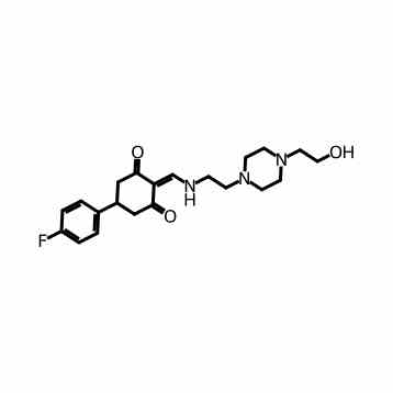 O=C1CC(c2ccc(F)cc2)CC(=O)C1=CNCCN1CCN(CCO)CC1